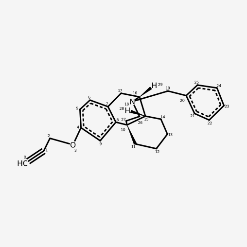 C#CCOc1ccc2c(c1)[C@@]13CCCC[C@H]1[C@@H](C2)N(Cc1ccccc1)CC3